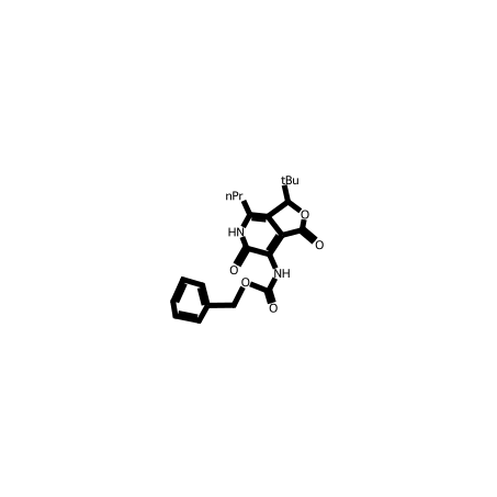 CCCc1[nH]c(=O)c(NC(=O)OCc2ccccc2)c2c1C(C(C)(C)C)OC2=O